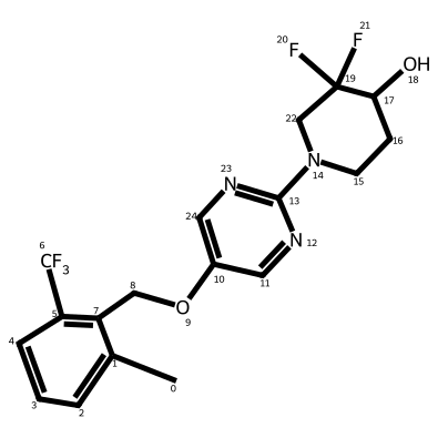 Cc1cccc(C(F)(F)F)c1COc1cnc(N2CCC(O)C(F)(F)C2)nc1